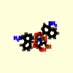 Nc1ccc(S(=O)(=O)N(C(CS)C(=O)O)S(=O)(=O)c2ccc(N)c3ccccc23)c2ccccc12